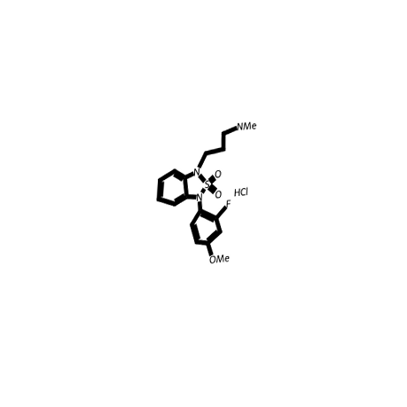 CNCCCN1c2ccccc2N(c2ccc(OC)cc2F)S1(=O)=O.Cl